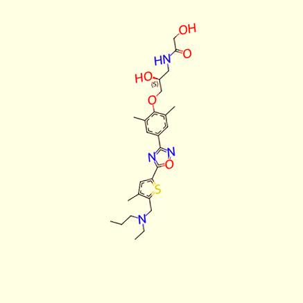 CCCN(CC)Cc1sc(-c2nc(-c3cc(C)c(OC[C@@H](O)CNC(=O)CO)c(C)c3)no2)cc1C